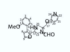 COc1ccccc1-c1ccoc1C1CN(C=O)C(COc2cccnc2)CN1